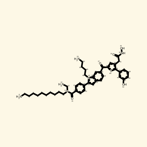 NCCCCCCCCCCN(CN)C(=O)c1ccc(-c2cc3ccc(C(=O)c4cc(CC(=O)NO)c(-c5cccc(O)c5)s4)cc3n2CCCCN)cc1